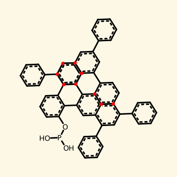 OP(O)Oc1cccc(-c2cc3c(-c4ccccc4)cc(-c4ccccc4)cc3cc2-c2ccccc2)c1-c1cc2c(-c3ccccc3)cc(-c3ccccc3)cc2cc1-c1ccccc1